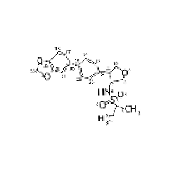 CC(C)S(=O)(=O)N[C@@H]1COC[C@@H]1c1ccc(-c2ccc3c(c2)OCO3)cc1